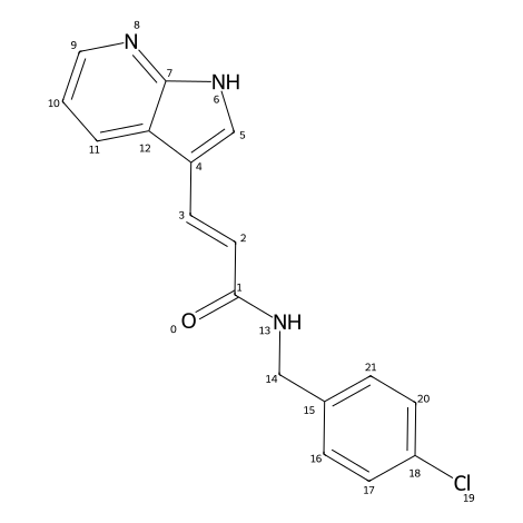 O=C(C=Cc1c[nH]c2ncccc12)NCc1ccc(Cl)cc1